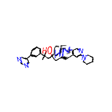 CC(C)(CC(O)(Cc1cc2cc(N3CCCCC3)ncc2[nH]1)C(F)(F)F)c1cccc(-c2cncnc2)c1